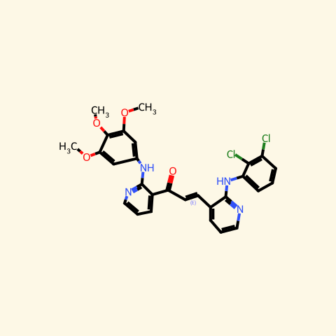 COc1cc(Nc2ncccc2C(=O)/C=C/c2cccnc2Nc2cccc(Cl)c2Cl)cc(OC)c1OC